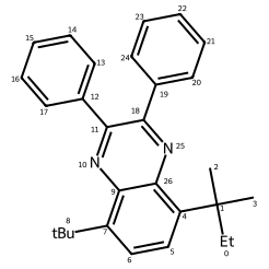 CCC(C)(C)c1ccc(C(C)(C)C)c2nc(-c3ccccc3)c(-c3ccccc3)nc12